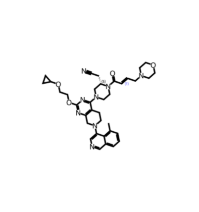 Cc1cccc2cncc(N3CCc4c(nc(OCCOC5CC5)nc4N4CCN(C(=O)/C=C/CN5CCOCC5)[C@@H](CC#N)C4)C3)c12